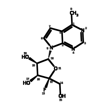 Cc1ncnc2c1ccn2[C@@H]1O[C@](F)(CO)[C@@H](O)[C@H]1O